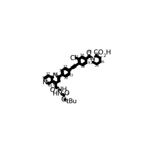 CC(C)(C)OC(=O)NNC(=O)c1cc(-c2ccc(C#Cc3ccc(C(=O)N4CCCC[C@H]4C(=O)O)cc3Cl)cc2)nc2ccncc12